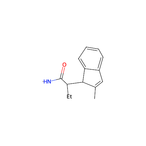 CCC(C([NH])=O)C1C(C)=Cc2ccccc21